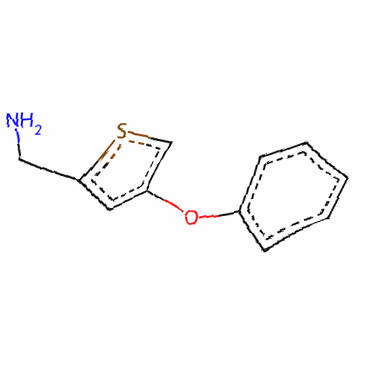 NCc1cc(Oc2ccccc2)cs1